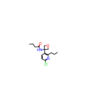 CCCC(=O)NC1(c2ccc(Cl)nc2CCC)COC1